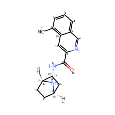 N#Cc1cccc2cnc(C(=O)N[C@@H]3C[C@H]4CC[C@@H]3N4)cc12